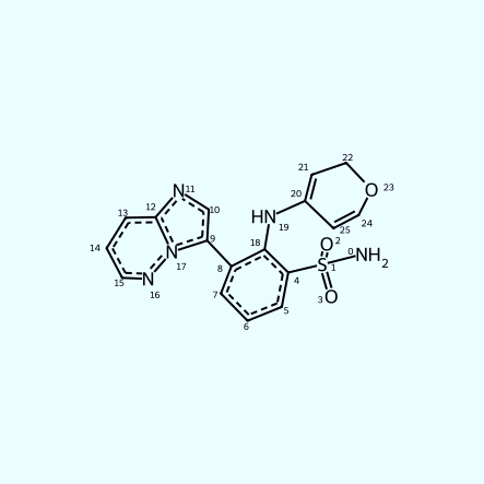 NS(=O)(=O)c1cccc(-c2cnc3cccnn23)c1NC1=CCOC=C1